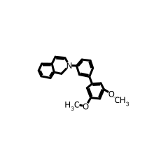 COc1cc(OC)cc(-c2cccc(N3C=Cc4ccccc4C3)c2)c1